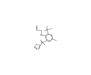 C=CCOc1c([Si](C)(C)C)cc(C)cc1[Si](C)(C)C1=CC=CC1